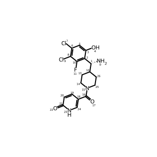 N[C@@H](c1c(O)cc(Cl)c(Cl)c1F)C1CCN(C(=O)c2ccc(=O)[nH]c2)CC1